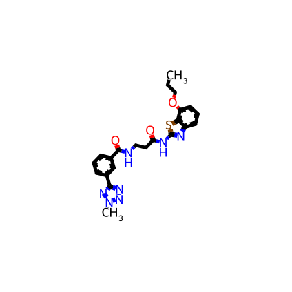 CCCOc1cccc2nc(NC(=O)CCNC(=O)c3cccc(-c4nnn(C)n4)c3)sc12